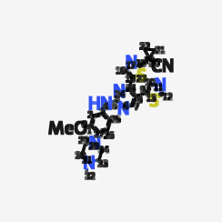 COc1cc(Nc2ncc(-c3cncs3)c(-c3cnc(C4(C#N)CC4)s3)n2)ccc1N1CCN(C)CC1